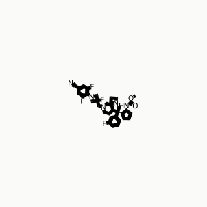 COC(=O)N[C@H]1CCC[C@@H]1C(CN1CCC1)(c1cccc(F)c1)C1CCN(CC2(F)CN(c3c(F)cc(C#N)cc3F)C2)CC1